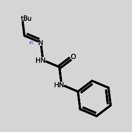 CC(C)(C)/C=N/NC(=O)Nc1ccccc1